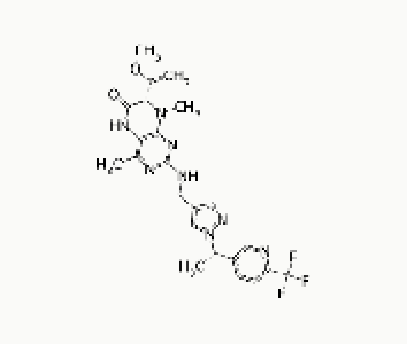 C=C(OC)[C@H]1C(=O)Nc2c(C)nc(NCc3cnn([C@@H](C)c4ccc(C(F)(F)F)nc4)c3)nc2N1C